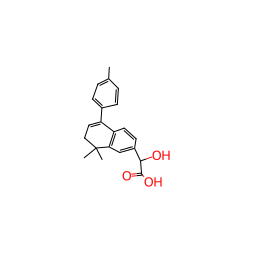 Cc1ccc(C2=CCC(C)(C)c3cc(C(O)C(=O)O)ccc32)cc1